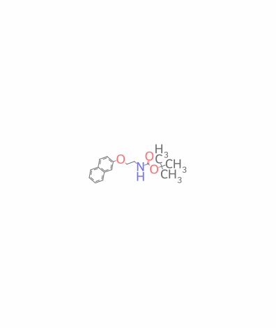 CC(C)(C)OC(=O)NCCOc1ccc2ccccc2c1